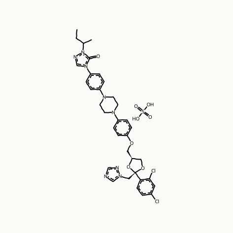 CCC(C)n1ncn(-c2ccc(N3CCN(c4ccc(OC[C@H]5CO[C@](Cn6cncn6)(c6ccc(Cl)cc6Cl)O5)cc4)CC3)cc2)c1=O.O=S(=O)(O)O